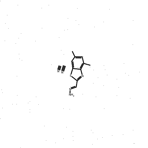 C#N.C#N.Cc1cc(C)c2nc(C=NN)sc2c1